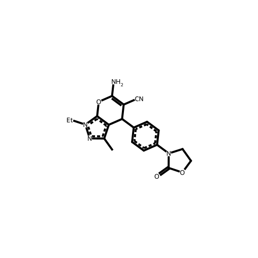 CCn1nc(C)c2c1OC(N)=C(C#N)C2c1ccc(N2CCOC2=O)cc1